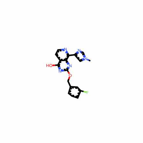 Cn1cnc(-c2nccc3c(O)nc(OCc4cccc(F)c4)nc23)c1